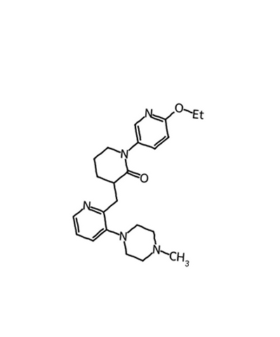 CCOc1ccc(N2CCCC(Cc3ncccc3N3CCN(C)CC3)C2=O)cn1